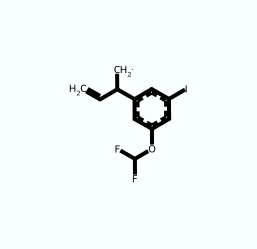 [CH2]C(C=C)c1cc(I)cc(OC(F)F)c1